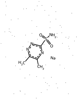 Cc1nnc(S(N)(=O)=O)nc1C.[Na]